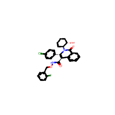 O=C(NOCc1ccccc1F)[C@@H]1c2ccccc2C(=O)N([C@H]2CCCC[C@@H]2O)[C@H]1c1ccc(Cl)cc1